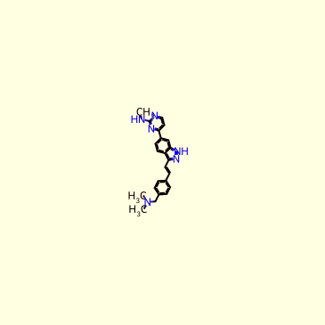 CNc1nccc(-c2ccc3c(C=Cc4ccc(CN(C)C)cc4)n[nH]c3c2)n1